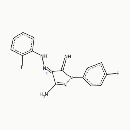 N=C1/C(=N\Nc2ccccc2F)C(N)=NN1c1ccc(F)cc1